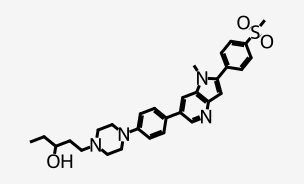 CCC(O)CCN1CCN(c2ccc(-c3cnc4cc(-c5ccc(S(C)(=O)=O)cc5)n(C)c4c3)cc2)CC1